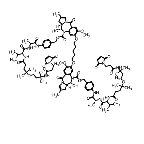 COc1cc2c(cc1OCCCCCOc1cc3c(cc1OC)C(=O)N1C=C(C)C[C@H]1[C@H](O)N3C(=O)OCc1ccc(NC(=O)[C@H](C)NC(=O)[C@@H](NC(=O)CCC(C)(C)OCCC(C)(C)NC(=O)CCN3C(=O)C=CC3=O)C(C)C)cc1)N(C(=O)OCc1ccc(NC(=O)[C@H](C)NC(=O)[C@@H](NC(=O)CCC(C)(C)OCCC(C)(C)NC(=O)CCN3C(=O)C=CC3=O)C(C)C)cc1)[C@@H](O)[C@@H]1CC(C)=CN1C2=O